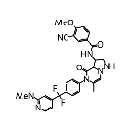 CNc1cc(C(F)(F)c2ccc(N3C(=O)C4C(NC(=O)c5ccc(OC)c(C#N)c5)CNN4C=C3C)cc2)ccn1